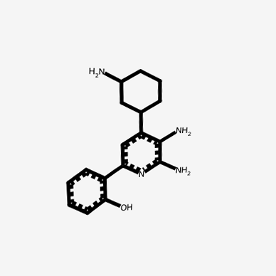 Nc1nc(-c2ccccc2O)cc(C2CCCC(N)C2)c1N